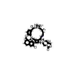 CO[C@]1(CN2CCN3C(=O)OC[C@@H]3C2)/C=C/C[C@H](C)[C@@H](C)S(=O)(=O)NC(=O)c2ccc3c(c2)N(C[C@@H]2CC[C@H]21)C[C@@]1(CCCc2cc(Cl)ccc21)CO3